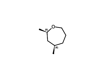 C[C@@H]1CCCO[C@H](C)C1